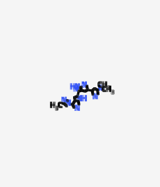 Cc1cn(-c2cncc3[nH]c(-c4n[nH]c5ncc(-c6cncc(N(C)C)c6)cc45)cc23)cn1